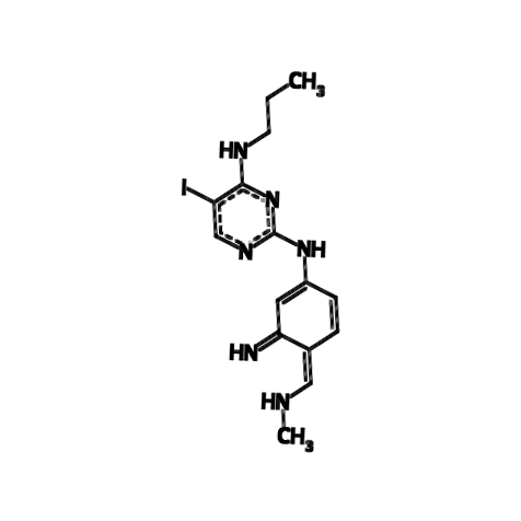 CCCNc1nc(NC2=CC(=N)/C(=C\NC)C=C2)ncc1I